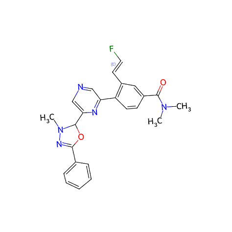 CN(C)C(=O)c1ccc(-c2cncc(C3OC(c4ccccc4)=NN3C)n2)c(/C=C/F)c1